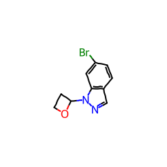 Brc1ccc2cnn(C3CCO3)c2c1